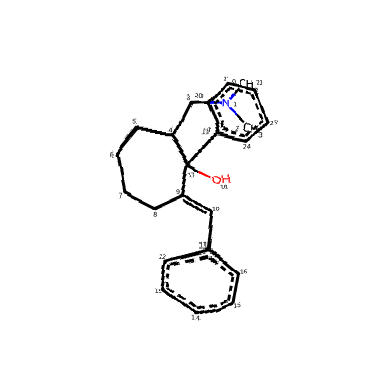 CN(C)CC1CCCCC(=Cc2ccccc2)C1(O)c1ccccc1